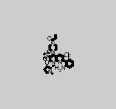 C=CC(=O)N1CCN(c2c(S(C)(=O)=O)c(=O)n(C[C@@H]3CCCN3C)c3nc(-c4c(N)cccc4F)c(Cl)cc23)CC1